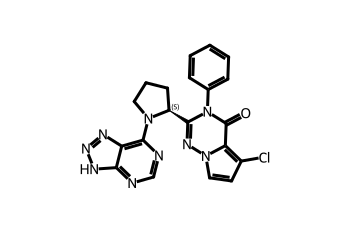 O=c1c2c(Cl)ccn2nc([C@@H]2CCCN2c2ncnc3[nH]nnc23)n1-c1ccccc1